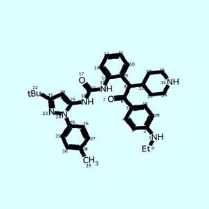 CCNc1ccc(C(=O)C(c2ccccc2NC(=O)Nc2cc(C(C)(C)C)nn2-c2ccc(C)cc2)C2CCNCC2)cc1